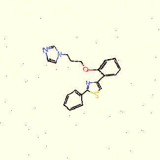 c1ccc(-c2nc(-c3ccccc3OCCCn3ccnc3)cs2)cc1